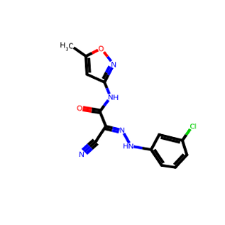 Cc1cc(NC(=O)/C(C#N)=N/Nc2cccc(Cl)c2)no1